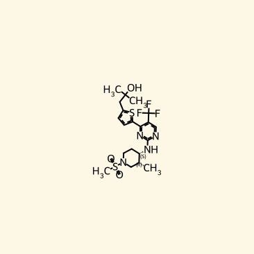 C[C@@H]1CN(S(C)(=O)=O)CC[C@@H]1Nc1ncc(C(F)(F)F)c(-c2ccc(CC(C)(C)O)s2)n1